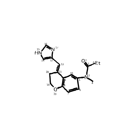 CCC(=O)N(C)c1ccc2c(c1)/C(=C/c1c[nH]cn1)CCO2